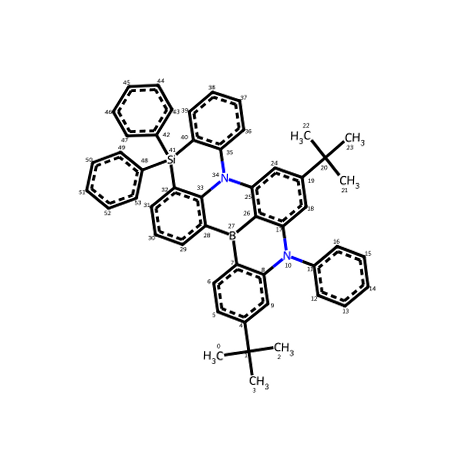 CC(C)(C)c1ccc2c(c1)N(c1ccccc1)c1cc(C(C)(C)C)cc3c1B2c1cccc2c1N3c1ccccc1[Si]2(c1ccccc1)c1ccccc1